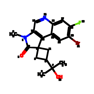 CN1C(=O)C2(CC(C(C)(C)O)C2)c2c1cnc1cc(F)c(Br)cc21